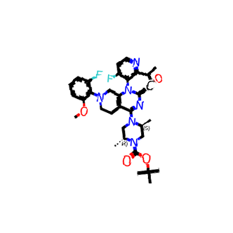 COc1cccc(F)c1N1CCC2=C(C1)N(c1c(F)ccnc1C(C)C)C(=C=O)N=C2N1C[C@@H](C)N(C(=O)OC(C)(C)C)C[C@@H]1C